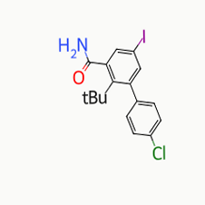 CC(C)(C)c1c(C(N)=O)cc(I)cc1-c1ccc(Cl)cc1